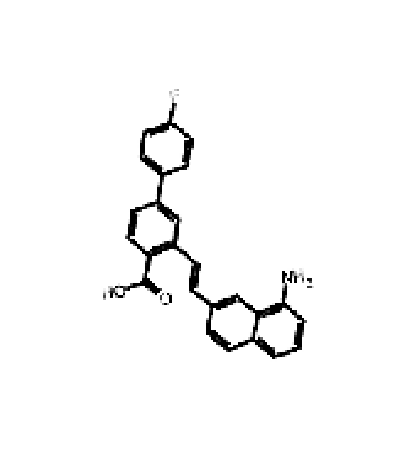 Nc1cccc2ccc(C=Cc3cc(-c4ccc(F)cc4)ccc3C(=O)O)cc12